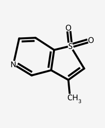 CC1=CS(=O)(=O)c2ccncc21